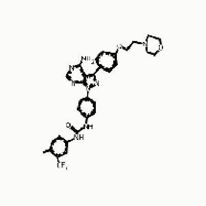 Cc1ccc(NC(=O)Nc2ccc(-n3nc(-c4ccc(OCCN5CCOCC5)cc4)c4c(N)ncnc43)cc2)cc1C(F)(F)F